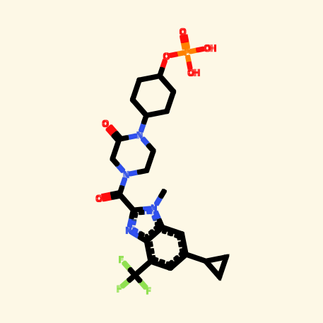 Cn1c(C(=O)N2CCN(C3CCC(OP(=O)(O)O)CC3)C(=O)C2)nc2c(C(F)(F)F)cc(C3CC3)cc21